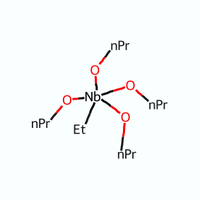 CCC[O][Nb]([CH2]C)([O]CCC)([O]CCC)[O]CCC